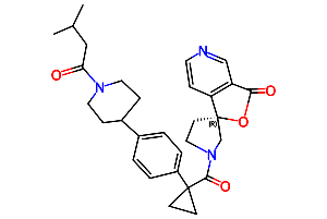 CC(C)CC(=O)N1CCC(c2ccc(C3(C(=O)N4CC[C@@]5(C4)OC(=O)c4cnccc45)CC3)cc2)CC1